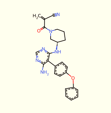 C=C(C#N)C(=O)N1CCC[C@@H](Nc2ncnc(N)c2-c2ccc(Oc3ccccc3)cc2)C1